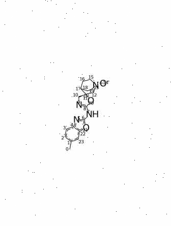 Cc1ccc2nc(NC3=NC[C@@]4(C[N+]5([O-])CCC4CC5)O3)oc2c1